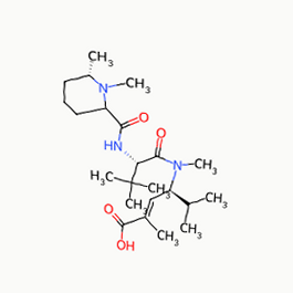 C/C(=C\[C@H](C(C)C)N(C)C(=O)[C@@H](NC(=O)C1CCC[C@H](C)N1C)C(C)(C)C)C(=O)O